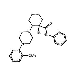 CCC1(C(=O)Nc2ccccn2)CCCCC1N1CCN(c2ccccc2OC)CC1